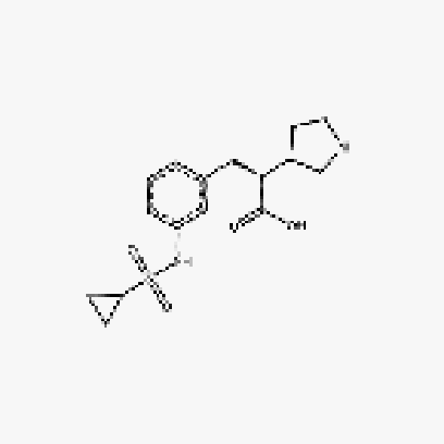 O=C(O)[C@@H](Cc1cccc(NS(=O)(=O)C2CC2)c1)[C@H]1CCNC1